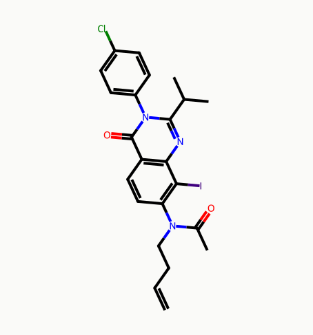 C=CCCN(C(C)=O)c1ccc2c(=O)n(-c3ccc(Cl)cc3)c(C(C)C)nc2c1I